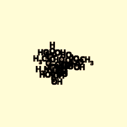 CO[C@@H]1OC(CO)[C@@H](O[C@@H]2OC(CO)[C@H](O)C(O[C@]3(C(=O)O)C[C@@H](O[C@@H]4OC(CO)[C@H](O)C(O)[C@@H]4C)[C@@H](N)C([C@H](O)[C@H](O)CO)O3)[C@@H]2O)C(O)[C@@H]1O